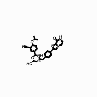 CC(C)Oc1ccc(C(=O)N[C@H](CCO)Cc2ccc(-c3cn4cc[nH]c(=O)c4n3)cc2)cc1C#N